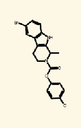 CC1c2[nH]c3ccc(Br)cc3c2CCN1C(=O)Oc1ccc(Cl)cc1